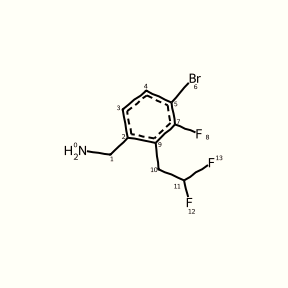 NCc1ccc(Br)c(F)c1CC(F)F